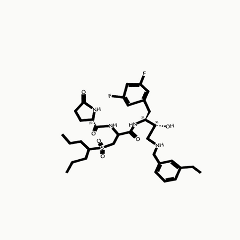 CCCC(CCC)S(=O)(=O)CC(NC(=O)[C@@H]1CCC(=O)N1)C(=O)N[C@@H](Cc1cc(F)cc(F)c1)[C@H](O)CNCc1cccc(CC)c1